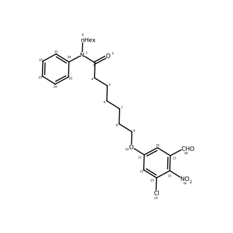 CCCCCCN(C(=O)CCCCCCOc1cc(Cl)c([N+](=O)[O-])c(C=O)c1)c1ccccc1